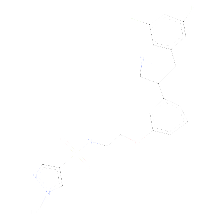 Cn1cc(S(=O)(=O)NCCOc2cccc(C(CN)Cc3cc(F)cc(F)c3)c2)cn1